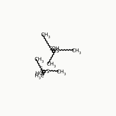 CCCCCCCCCCCCSCc1cc(CCCCCCCCC)cc(CSCCCCCCCCCCCC)c1O.CCCCCCCCSCc1cc(CC)c(O)c(CSCCCCCCCC)c1